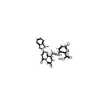 C[C@@H]1c2ccccc2CN1c1cc(=O)n2cc(F)cc([C@@H](C)Nc3ccc(Cl)nc3C(=O)O)c2n1